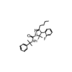 CCCCC1=NN(C(=O)NC(C)(C)c2ccccc2)C(C)(C)C1c1ccccc1F